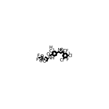 Cc1cc(C2=NO[C@@](c3cc(Cl)c(F)c(Cl)c3)(C(F)(F)F)C2)ccc1C(=O)N[C@H]1CON(S(=O)(=O)C(F)F)C1